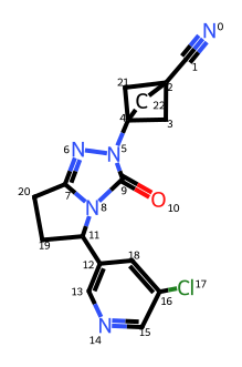 N#CC12CC(n3nc4n(c3=O)C(c3cncc(Cl)c3)CC4)(C1)C2